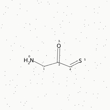 NCC(=O)[C]=S